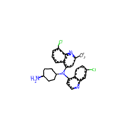 NC1CCC(N(c2ccnc3cc(Cl)ccc23)c2cc(C(F)(F)F)nc3c(Cl)cccc23)CC1